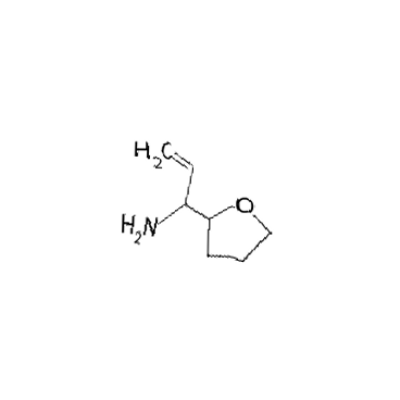 C=CC(N)C1CCCO1